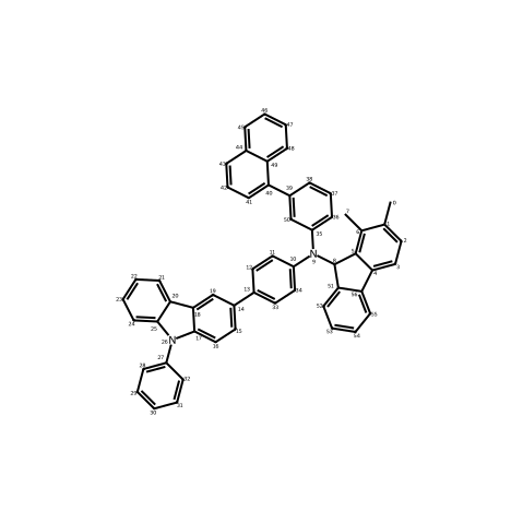 Cc1ccc2c(c1C)C(N(c1ccc(-c3ccc4c(c3)c3ccccc3n4-c3ccccc3)cc1)c1cccc(-c3cccc4ccccc34)c1)c1ccccc1-2